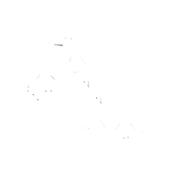 COC(=O)c1ccc(N2CCN(CC3=C(c4ccc(Cl)cc4)CC(C)(C)OC3)CC2)cc1Oc1ccc2[nH]ccc2c1